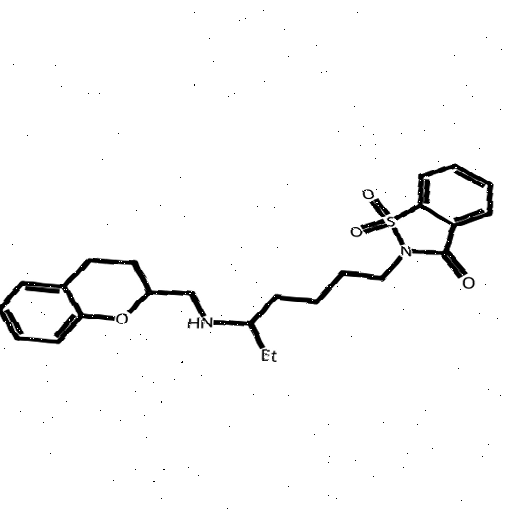 CCC(CCCCN1C(=O)c2ccccc2S1(=O)=O)NCC1CCc2ccccc2O1